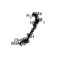 CNC(=O)CCC(C=O)N1C(=O)c2cccc(OCCNC(=O)CCOCCOCCOc3ccc(Nc4ncc(C(F)(F)F)c(NCc5cccc(N(C)SC)c5)n4)cc3)c2C1=O